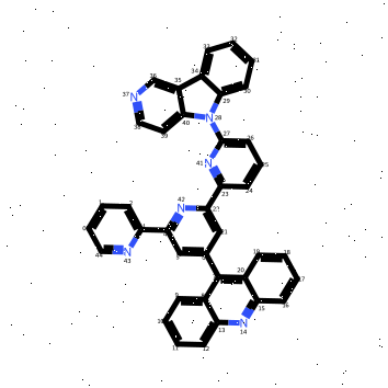 c1ccc(-c2cc(-c3c4ccccc4nc4ccccc34)cc(-c3cccc(-n4c5ccccc5c5cnccc54)n3)n2)nc1